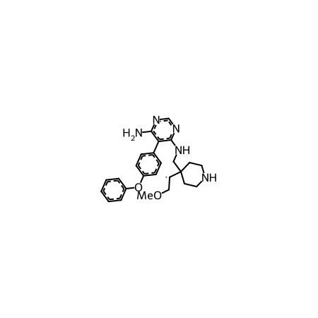 COC[CH]C1(CNc2ncnc(N)c2-c2ccc(Oc3ccccc3)cc2)CCNCC1